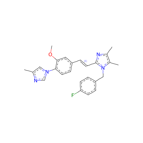 COc1cc(/C=C/c2nc(C)c(C)n2Cc2ccc(F)cc2)ccc1-n1cnc(C)c1